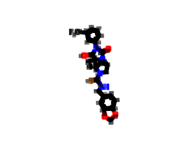 O=C1[C@H]2[C@H]3CC(CN3C(=S)NCc3ccc4c(c3)OCO4)N2C(=O)N1c1cccc(C(F)(F)F)c1